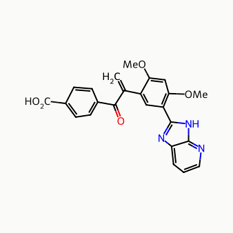 C=C(C(=O)c1ccc(C(=O)O)cc1)c1cc(-c2nc3cccnc3[nH]2)c(OC)cc1OC